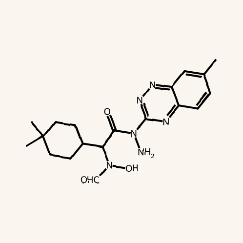 Cc1ccc2nc(N(N)C(=O)C(C3CCC(C)(C)CC3)N(O)C=O)nnc2c1